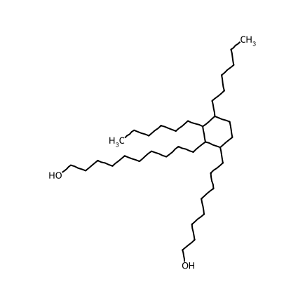 CCCCCCC1CCC(CCCCCCCCO)C(CCCCCCCCCCO)C1CCCCCC